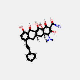 CN(C)[C@@H]1C(O)=C(C(N)=O)C(=O)[C@@]2(O)C(O)=C3C(=O)c4c(O)ccc(C#Cc5ccccc5)c4C[C@H]3C[C@@H]12